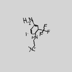 C[N+](C)(C)CCNc1ccc(N)cc1C(F)(F)F.[I-]